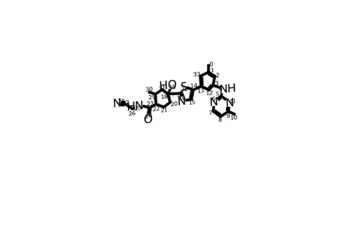 Cc1cc(Nc2nccc(C)n2)cc(-c2cnc(C3(O)CCC(C(=O)NCC#N)C(C)C3)s2)c1